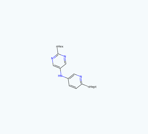 CCCCCCCc1ccc(Nc2cnc(CCCCCC)nc2)cn1